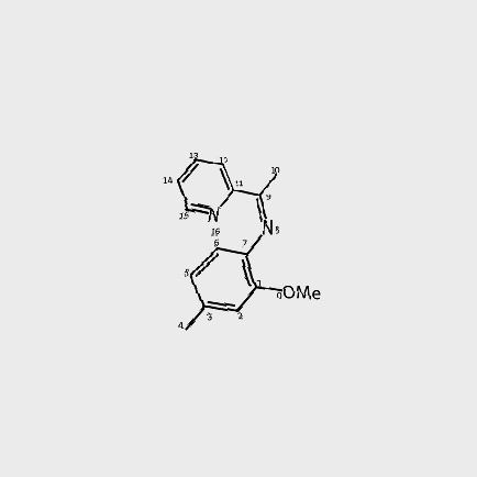 COc1cc(C)ccc1N=C(C)c1ccccn1